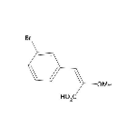 COC(=Cc1cccc(Br)c1)C(=O)O